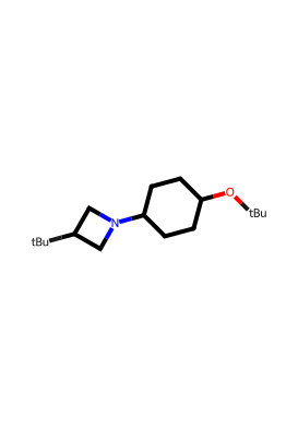 CC(C)(C)OC1CCC(N2CC(C(C)(C)C)C2)CC1